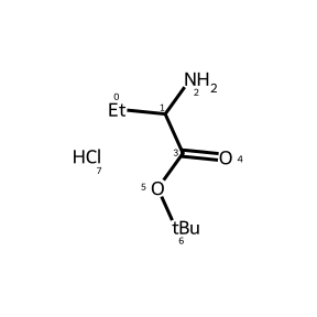 CCC(N)C(=O)OC(C)(C)C.Cl